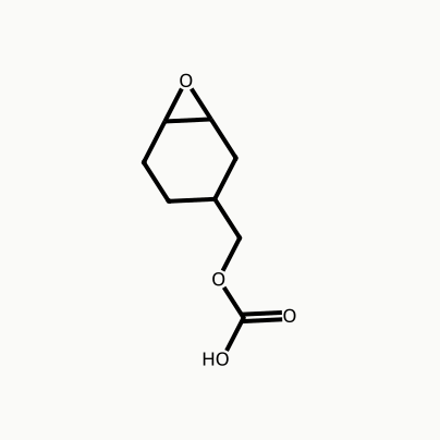 O=C(O)OCC1CCC2OC2C1